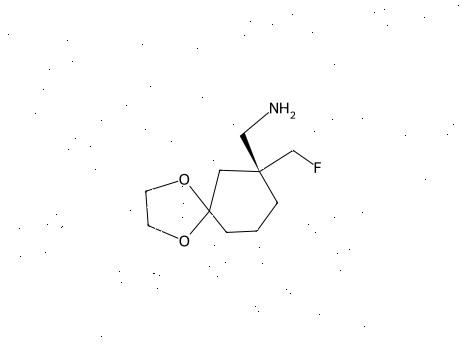 NC[C@@]1(CF)CCCC2(C1)OCCO2